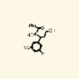 CC(C)(C)C(=O)N(O)C(CCO)c1cc(F)cc(C#N)c1